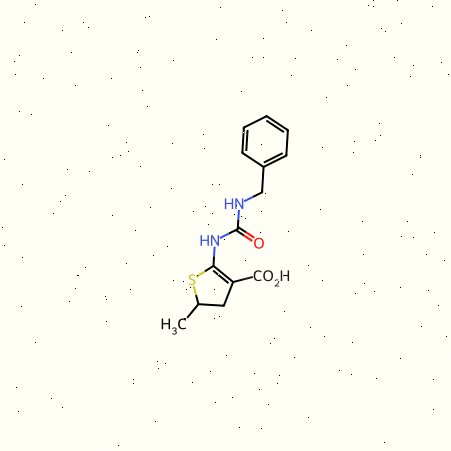 CC1CC(C(=O)O)=C(NC(=O)NCc2ccccc2)S1